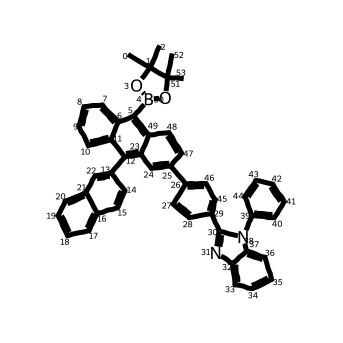 CC1(C)OB(c2c3ccccc3c(-c3ccc4ccccc4c3)c3cc(-c4ccc(-c5nc6ccccc6n5-c5ccccc5)cc4)ccc23)OC1(C)C